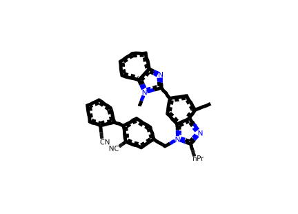 CCCc1nc2c(C)cc(-c3nc4ccccc4n3C)cc2n1Cc1ccc(-c2ccccc2C#N)c(C#N)c1